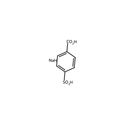 O=C(O)c1ccc(S(=O)(=O)O)cc1.[NaH]